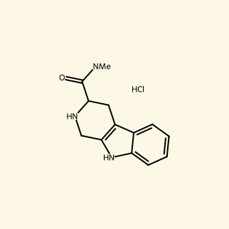 CNC(=O)C1Cc2c([nH]c3ccccc23)CN1.Cl